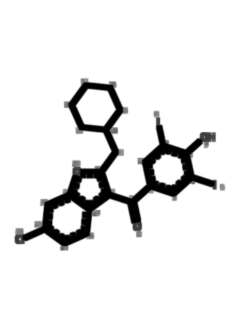 O=C(c1cc(I)c(O)c(I)c1)c1c(CC2CCCCC2)oc2cc(Cl)ccc12